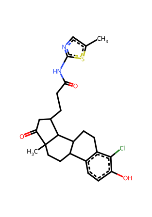 Cc1cnc(NC(=O)CCC2CC(=O)C3(C)CCC4c5ccc(O)c(Cl)c5CCC4C23)s1